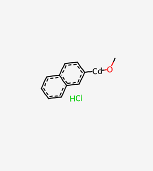 C[O][Cd][c]1ccc2ccccc2c1.Cl